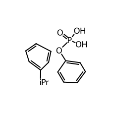 CC(C)c1ccccc1.O=P(O)(O)Oc1ccccc1